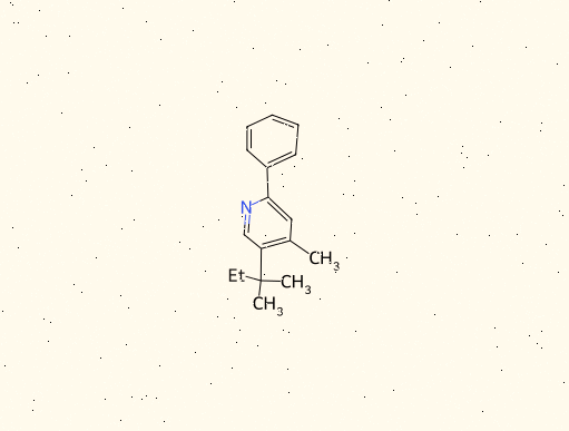 CCC(C)(C)c1cnc(-c2ccccc2)cc1C